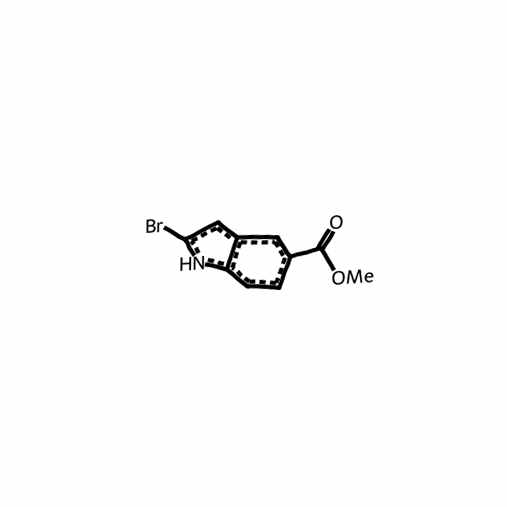 COC(=O)c1ccc2[nH]c(Br)cc2c1